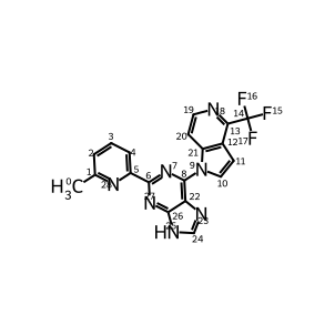 Cc1cccc(-c2nc(-n3ccc4c(C(F)(F)F)nccc43)c3nc[nH]c3n2)n1